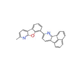 Cc1ccc2c(n1)oc1c(-c3ccc4c(n3)-c3cccc5cccc-4c35)cccc12